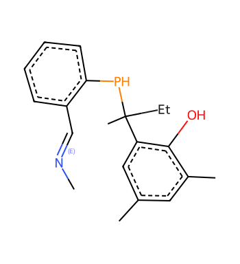 CCC(C)(Pc1ccccc1/C=N/C)c1cc(C)cc(C)c1O